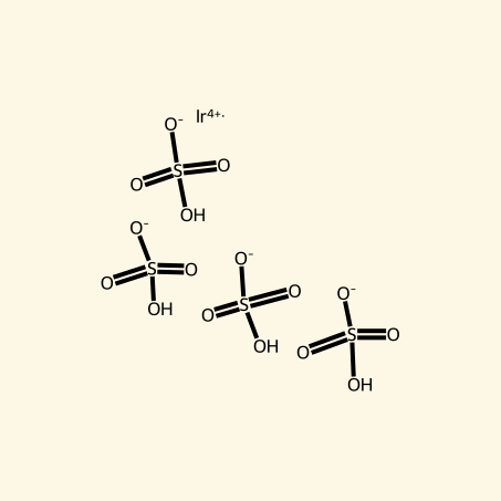 O=S(=O)([O-])O.O=S(=O)([O-])O.O=S(=O)([O-])O.O=S(=O)([O-])O.[Ir+4]